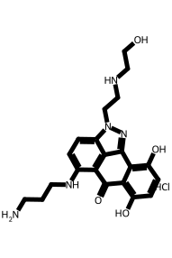 Cl.NCCCNc1ccc2c3c(nn2CCNCCO)-c2c(O)ccc(O)c2C(=O)c13